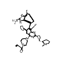 C=CC(=O)N1CCN(c2nc(OC[C@@H]3CCCN3C)nc3c(F)c(-c4ccc(F)c5sc(N)nc45)c(Cl)cc23)CC1